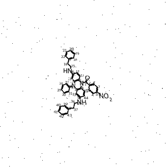 O=C(c1ccc([N+](=O)[O-])cc1)N1c2ccc(NCCc3ccccc3)cc2N(c2ccccc2)c2cc(NCCc3ccccc3)ccc21